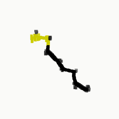 CCCCC[CH]SS